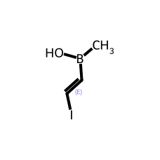 CB(O)/C=C/I